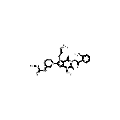 CC=CCn1c(N2CCCC(NC(=O)OC(C)(C)C)C2)nc2c1c(=O)n(CC(=O)c1ccccc1N)c(=O)n2C